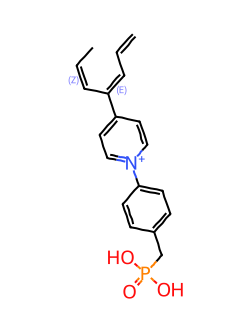 C=C/C=C(\C=C/C)c1cc[n+](-c2ccc(CP(=O)(O)O)cc2)cc1